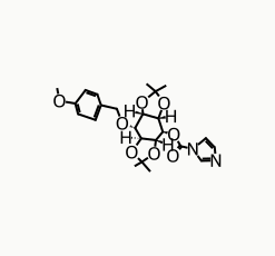 COc1ccc(CO[C@@H]2[C@@H]3OC(C)(C)O[C@@H]3[C@@H](OC(=O)n3ccnc3)[C@@H]3OC(C)(C)O[C@@H]23)cc1